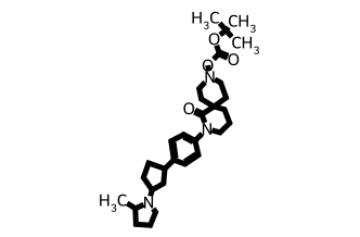 CC1CCCN1C1CCC(c2ccc(N3CCCC4(CCN(OC(=O)OC(C)(C)C)CC4)C3=O)cc2)C1